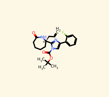 C=CC[C@@]1(c2nc(-c3ccccc3F)cn2C(=O)OC(C)(C)C)CCCCC(=O)N1